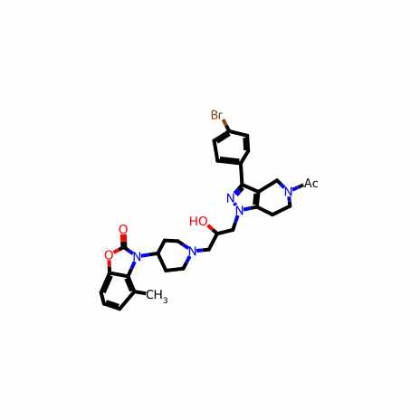 CC(=O)N1CCc2c(c(-c3ccc(Br)cc3)nn2CC(O)CN2CCC(n3c(=O)oc4cccc(C)c43)CC2)C1